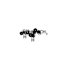 Cc1cn(-c2cccc3[nH]c(-c4n[nH]c5ccc(-c6cncc(NC(=O)C7CCCC7)c6)cc45)cc23)cn1